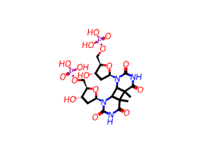 CC12C(=O)NC(=O)N([C@H]3C[C@H](O)[C@@H](COP(=O)(O)O)O3)C1C1N([C@H]3C[C@H](O)[C@@H](COP(=O)(O)O)O3)C(=O)NC(=O)C12C